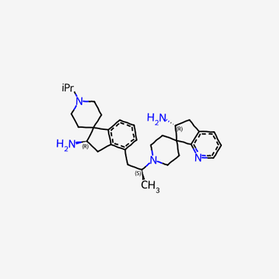 CC(C)N1CCC2(CC1)c1cccc(C[C@H](C)N3CCC4(CC3)c3ncccc3C[C@H]4N)c1C[C@H]2N